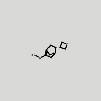 C1COC1.CCCOC1=C2CCC(C2)C1